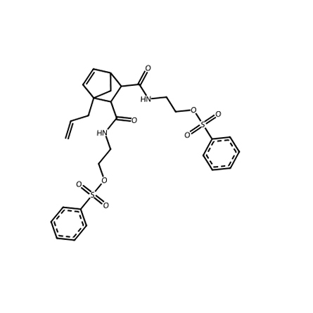 C=CCC12C=CC(C1)C(C(=O)NCCOS(=O)(=O)c1ccccc1)C2C(=O)NCCOS(=O)(=O)c1ccccc1